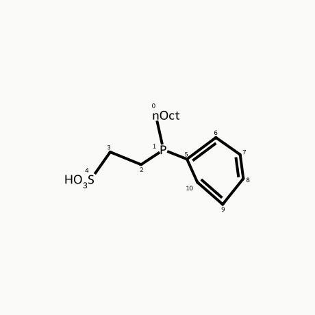 CCCCCCCCP(CCS(=O)(=O)O)c1ccccc1